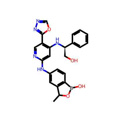 CC1OB(O)c2ccc(Nc3cc(N[C@H](CO)c4ccccc4)c(-c4nnco4)cn3)cc21